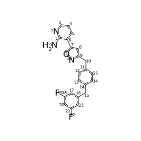 Nc1ncccc1-c1cc(Cc2ccc(Cc3cc(F)cc(F)c3)cc2)no1